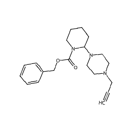 C#CCN1CCN(C2CCCCN2C(=O)OCc2ccccc2)CC1